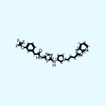 O=C(Cc1cccc(OC(F)(F)F)c1)Nc1nnc(N[C@@H]2CCN(CCCc3nc4ncccc4s3)C2)s1